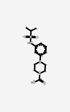 CC(C)S(=O)(=O)Nc1cccc(N2CCN(C(=O)O)CC2)c1